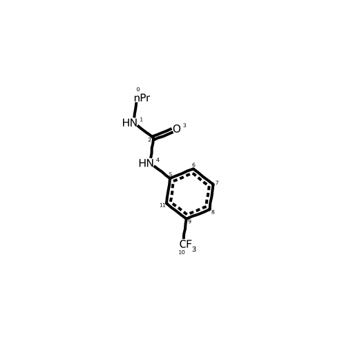 CCCNC(=O)Nc1cccc(C(F)(F)F)c1